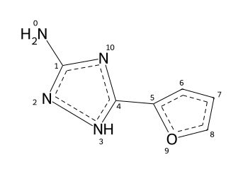 Nc1n[nH]c(-c2ccco2)n1